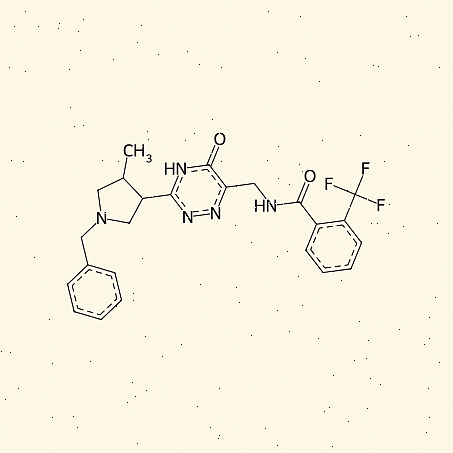 CC1CN(Cc2ccccc2)CC1c1nnc(CNC(=O)c2ccccc2C(F)(F)F)c(=O)[nH]1